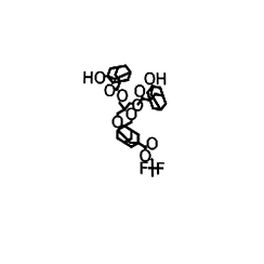 CC(F)(F)COC(=O)C12CC3CC(C1)C1(COC(COC(=O)C45CC6CC(CC(O)(C6)C4)C5)(COC(=O)C45CC6CC(CC(O)(C6)C4)C5)CO1)C(C3)C2